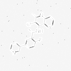 Cc1nc2ccccc2c(N[C@H](C)c2cc(-c3cccnc3)ccc2F)c1Cl